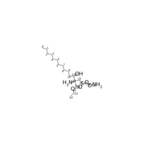 CCCCCCCCCCCC(O)C(N)(CSOON)C(=O)OCC